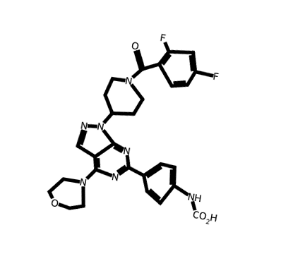 O=C(O)Nc1ccc(-c2nc(N3CCOCC3)c3cnn(C4CCN(C(=O)c5ccc(F)cc5F)CC4)c3n2)cc1